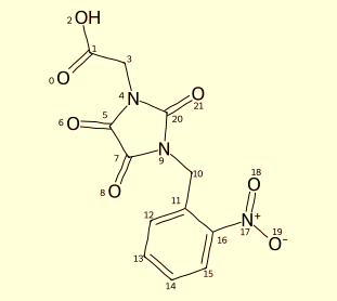 O=C(O)CN1C(=O)C(=O)N(Cc2ccccc2[N+](=O)[O-])C1=O